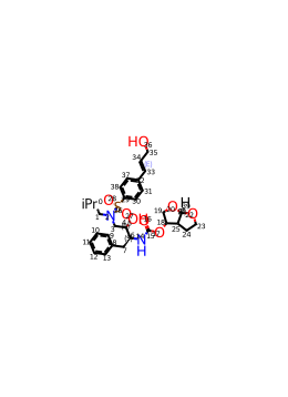 CC(C)CN(C[C@@H](O)[C@H](Cc1ccccc1)NC(=O)OC1CO[C@H]2OCCC12)S(=O)(=O)c1ccc(/C=C/CO)cc1